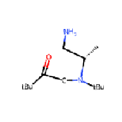 C[C@@H](CN)N(CC(=O)C(C)(C)C)C(C)(C)C